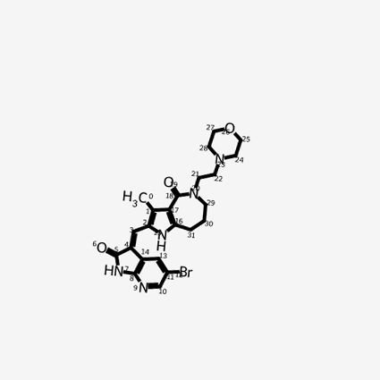 Cc1c(/C=C2/C(=O)Nc3ncc(Br)cc32)[nH]c2c1C(=O)N(CCN1CCOCC1)CCC2